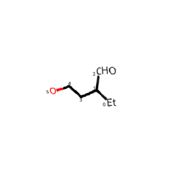 CCC(C=O)CC[O]